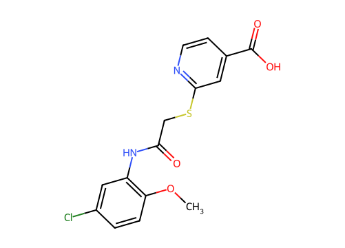 COc1ccc(Cl)cc1NC(=O)CSc1cc(C(=O)O)ccn1